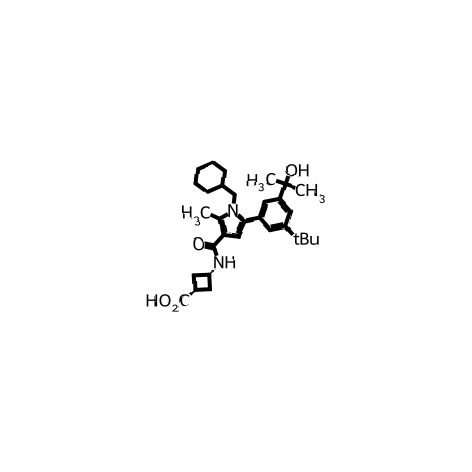 Cc1c(C(=O)N[C@H]2C[C@H](C(=O)O)C2)cc(-c2cc(C(C)(C)C)cc(C(C)(C)O)c2)n1CC1CCCCC1